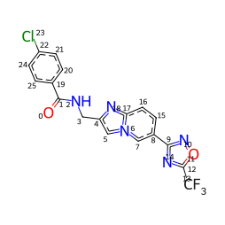 O=C(NCc1cn2cc(-c3noc(C(F)(F)F)n3)ccc2n1)c1ccc(Cl)cc1